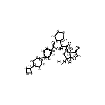 N[C@@H]1CN(C(=O)[C@@H](NC(=O)c2ccc(N3CCN(C4CCC4)CC3)cc2)C2CCCCC2)[C@@H]2C(=O)CO[C@H]12